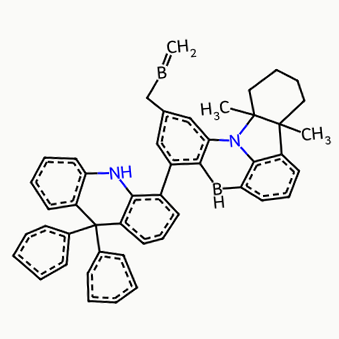 C=BCc1cc(-c2cccc3c2Nc2ccccc2C3(c2ccccc2)c2ccccc2)c2c(c1)N1c3c(cccc3C3(C)CCCCC13C)B2